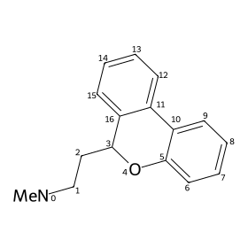 CNCCC1Oc2ccccc2-c2ccccc21